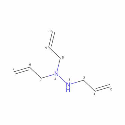 C=CCNN(CC=C)CC=C